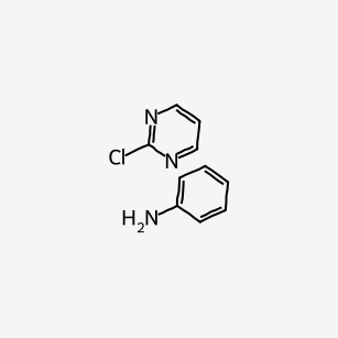 Clc1ncccn1.Nc1ccccc1